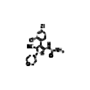 N#Cc1c(N2CCOCC2)sc(NC(N)=O)c1-c1ccc(Cl)cc1Cl